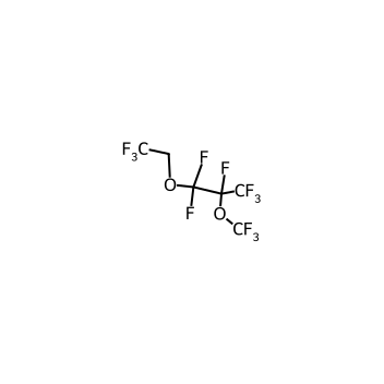 FC(F)(F)COC(F)(F)C(F)(OC(F)(F)F)C(F)(F)F